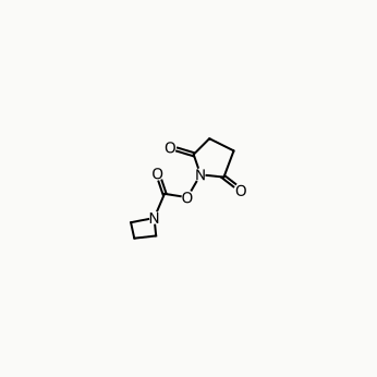 O=C(ON1C(=O)CCC1=O)N1CCC1